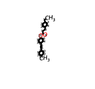 CCc1ccc(C=CC(=O)Oc2ccc(C#Cc3ccc(C)cc3)cc2)cc1